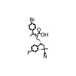 C[C@@H](c1ccc(Br)cc1)N(CC[C@H](CC(C)(C)C#N)c1ccc(F)cc1)C(=O)O